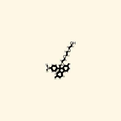 Cc1ccc2c(c1)C(COCCOCCOCCO)(c1ccc(N(C)C)cc1)c1cc(C)ccc1-2